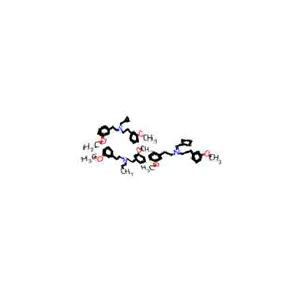 C=CCN(CCc1cccc(OC)c1)CCc1cccc(OC)c1.COc1cccc(CCN(CCc2cccc(OC)c2)CC2CC2)c1.COc1cccc(CCN(CCc2cccc(OC)c2)CC2CCC2)c1